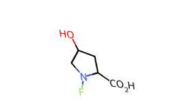 O=C(O)C1CC(O)CN1F